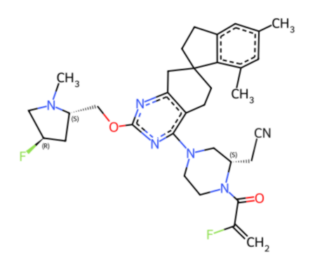 C=C(F)C(=O)N1CCN(c2nc(OC[C@@H]3C[C@@H](F)CN3C)nc3c2CCC2(CCc4cc(C)cc(C)c42)C3)C[C@@H]1CC#N